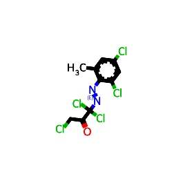 Cc1cc(Cl)cc(Cl)c1/N=N/C(Cl)(Cl)C(=O)CCl